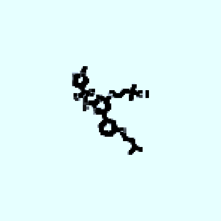 CC(C)CCOc1cccc(-c2cc(OCCC(C)(C)O)nc(NS(=O)(=O)c3cnn(C)c3)n2)c1